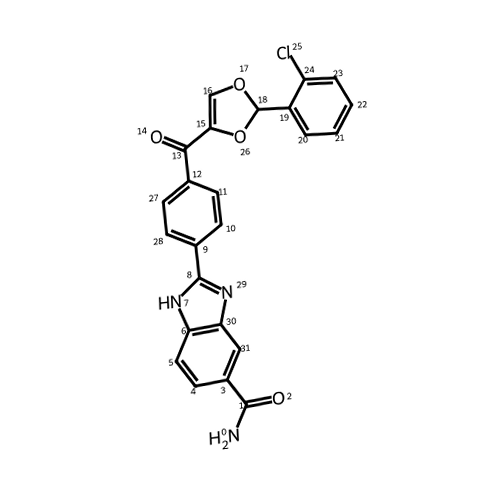 NC(=O)c1ccc2[nH]c(-c3ccc(C(=O)C4=COC(c5ccccc5Cl)O4)cc3)nc2c1